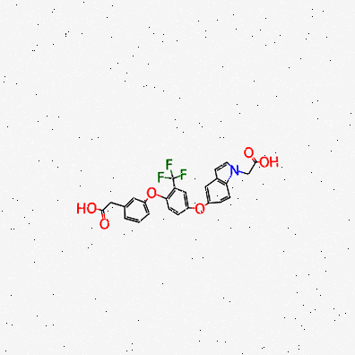 O=C(O)Cc1cccc(Oc2ccc(Oc3ccc4c(ccn4CC(=O)O)c3)cc2C(F)(F)F)c1